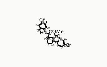 COC(=O)[C@@H]1[C@@H](c2ccc(Br)cn2)CCC[C@H]1C(=O)Nc1ccc(C(F)(F)F)cc1F